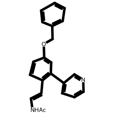 CC(=O)NC=Cc1ccc(OCc2ccccc2)cc1-c1cccnc1